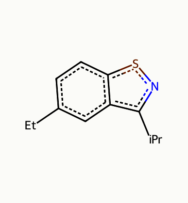 CCc1ccc2snc(C(C)C)c2c1